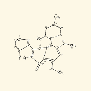 [2H]c1c(-c2ccccc2Cl)oc2c(C3CCN(C)CC3O)c(OC)cc(OC)c2c1=O